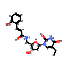 CCc1cn([C@H]2C[C@H](O)[C@@H](CNC(=O)C=Cc3ccccc3Br)O2)c(=O)[nH]c1=O